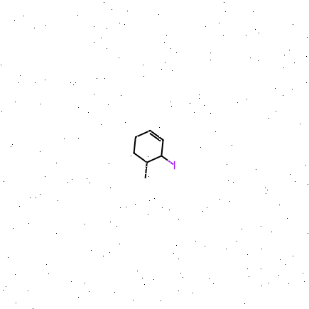 CC1CCC=CC1I